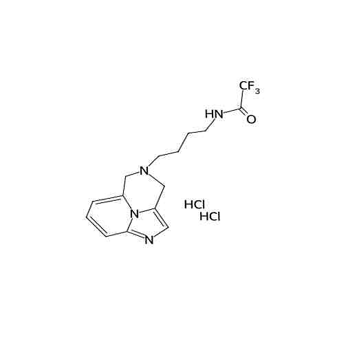 Cl.Cl.O=C(NCCCCN1Cc2cccc3ncc(n23)C1)C(F)(F)F